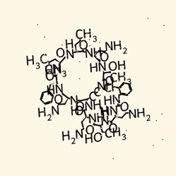 CCC[C@@H]1NC(=O)[C@H](CC(C)C)NC(=O)[C@@H](Cc2ccccc2)NC(=O)[C@H](CCN)NC(=O)[C@@H](NC(=O)[C@H](CCN)NC(=O)[C@@H](NC(=O)[C@H](CCN)NC(=O)Nc2ccccc2Cl)[C@@H](C)O)CCNC(=O)[C@H]([C@@H](C)O)NC(=O)[C@H](CCN)NC1=O